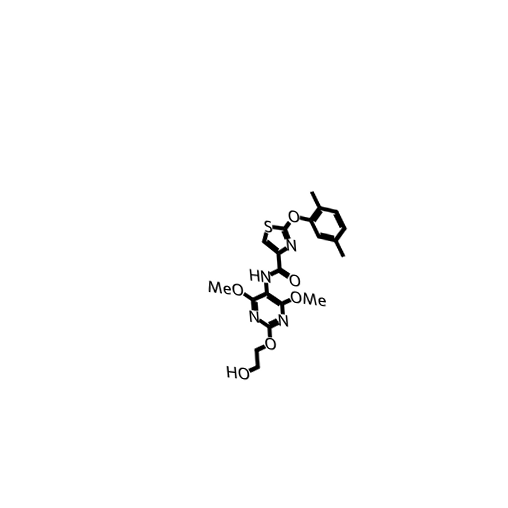 COc1nc(OCCO)nc(OC)c1NC(=O)c1csc(Oc2cc(C)ccc2C)n1